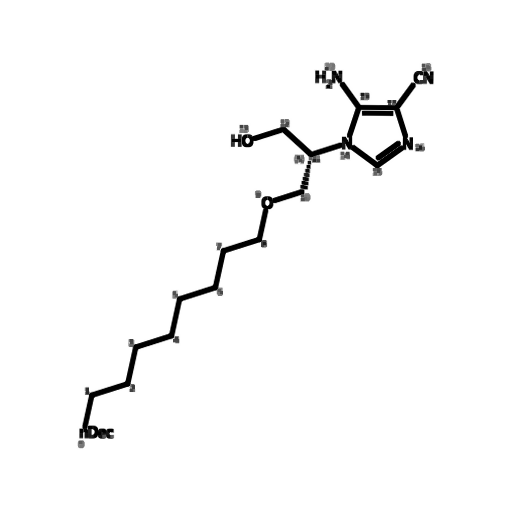 CCCCCCCCCCCCCCCCCCOC[C@H](CO)n1cnc(C#N)c1N